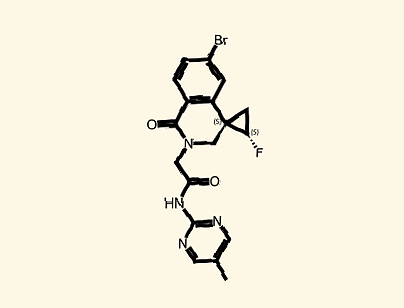 Cc1cnc(NC(=O)CN2C[C@]3(C[C@@H]3F)c3cc(Br)ccc3C2=O)nc1